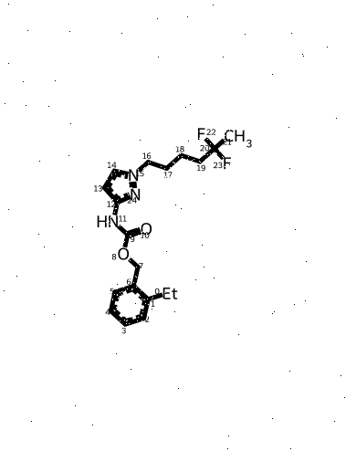 CCc1ccccc1COC(=O)Nc1ccn(CCCCC(C)(F)F)n1